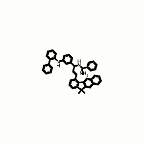 CC1(C)c2cc3ccccc3cc2-c2c(/C=C/C(NC(N)c3ccccc3)c3cccc(Nc4ccccc4-c4ccccc4)c3)cccc21